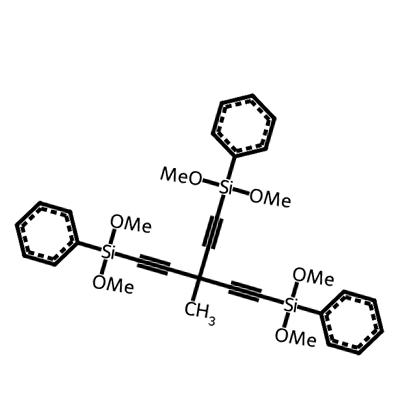 CO[Si](C#CC(C)(C#C[Si](OC)(OC)c1ccccc1)C#C[Si](OC)(OC)c1ccccc1)(OC)c1ccccc1